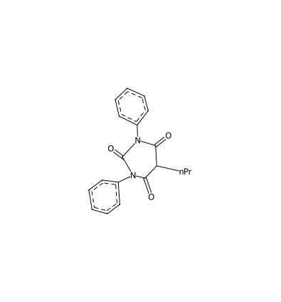 CCCC1C(=O)N(c2ccccc2)C(=O)N(c2ccccc2)C1=O